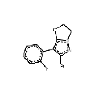 CC(C)c1nn2c(c1-c1ccccc1F)OCC2